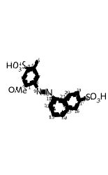 COc1cc(S(=O)(=O)O)c(C)cc1N=Nc1cccc2cc(S(=O)(=O)O)ccc12